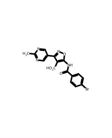 Cc1ncc(-c2noc(NC(=O)c3ccc(Br)cc3)c2C(=O)O)cn1